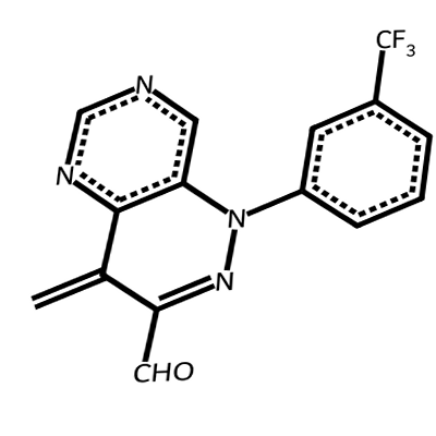 C=C1C(C=O)=NN(c2cccc(C(F)(F)F)c2)c2cncnc21